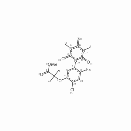 COC(=O)C(C)(C)Oc1cc(-n2c(=O)n(C)c(=S)n(C)c2=O)c(F)cc1Cl